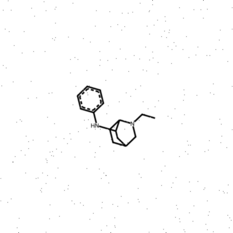 CCN1CC2CCC1C(Nc1ccccc1)C2